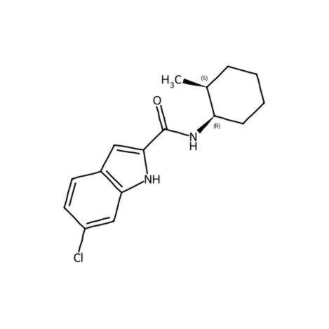 C[C@H]1CCCC[C@H]1NC(=O)c1cc2ccc(Cl)cc2[nH]1